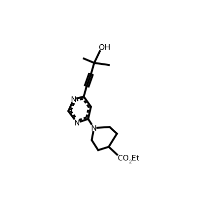 CCOC(=O)C1CCN(c2cc(C#CC(C)(C)O)ncn2)CC1